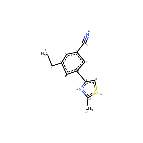 CCc1cc(C#N)cc(-c2csc(C)n2)c1